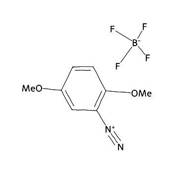 COc1ccc(OC)c([N+]#N)c1.F[B-](F)(F)F